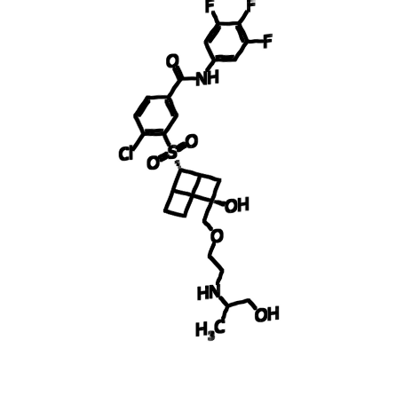 CC(CO)NCCOC[C@@]1(O)CC2[C@@H](S(=O)(=O)c3cc(C(=O)Nc4cc(F)c(F)c(F)c4)ccc3Cl)C3CCC321